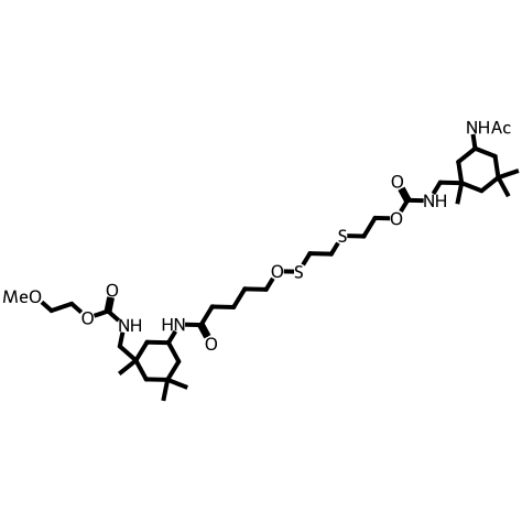 COCCOC(=O)NCC1(C)CC(NC(=O)CCCCOSCCSCCOC(=O)NCC2(C)CC(NC(C)=O)CC(C)(C)C2)CC(C)(C)C1